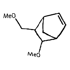 COCC1C2C=CC(C2)C1OC